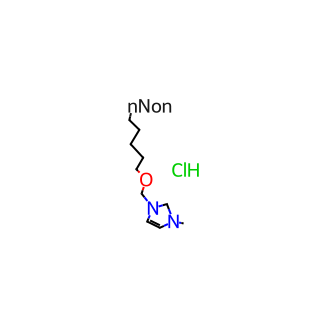 CCCCCCCCCCCCCCOCN1C=CN(C)C1.Cl